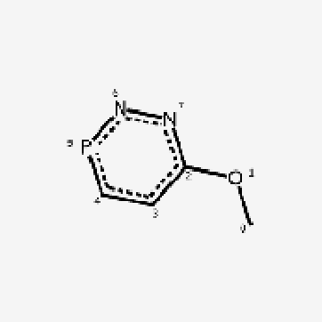 COc1ccpnn1